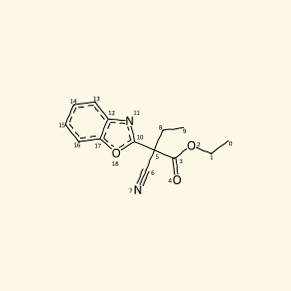 CCOC(=O)C(C#N)(CC)c1nc2ccccc2o1